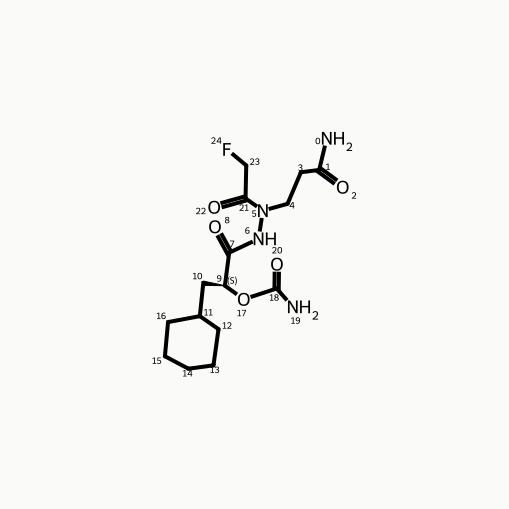 NC(=O)CCN(NC(=O)[C@H](CC1CCCCC1)OC(N)=O)C(=O)CF